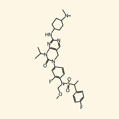 COCN(c1ccc(N2Cc3cnc(NC4CCC(N(C)C)CC4)nc3N(C(C)C)C2=O)cc1F)S(=O)(=O)C(C)c1ccc(F)cc1